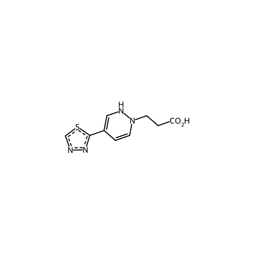 O=C(O)CCN1C=CC(c2nncs2)=CN1